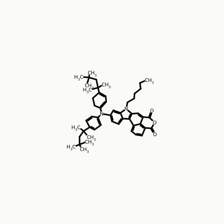 CCCCCCn1c2cc(N(C3=CC=C(C(C)(C)CC(C)(C)C)CC3)c3ccc(C(C)(C)CC(C)(C)C)cc3)ccc2c2c3cccc4c3c(cc21)C(=O)OC4=O